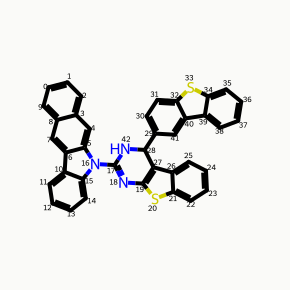 c1ccc2cc3c(cc2c1)c1ccccc1n3C1=Nc2sc3ccccc3c2C(c2ccc3sc4ccccc4c3c2)N1